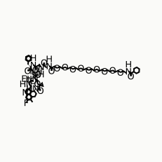 CCC(=O)NCc1cnc2cc(F)c(C)c3c2c1[C@@H](NC(=O)C1(OCNC(=O)CNC(=O)[C@H](Cc2ccccc2)NC(=O)CNC(=O)CNC(=O)COCCOCCOCCOCCOCCOCCOCCOCCOCCNC(=O)C2CCCCC2)CC1)CC3